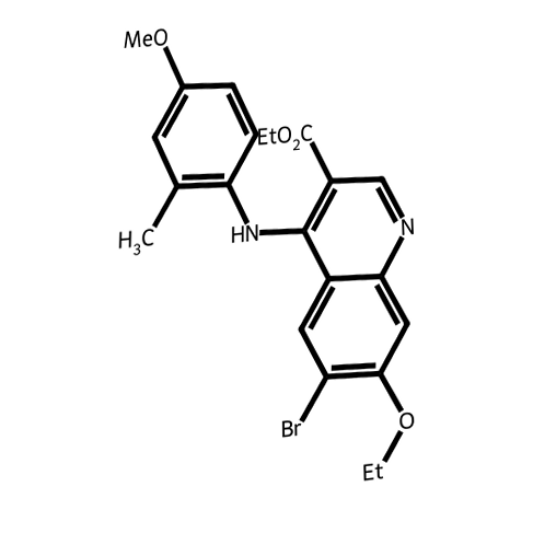 CCOC(=O)c1cnc2cc(OCC)c(Br)cc2c1Nc1ccc(OC)cc1C